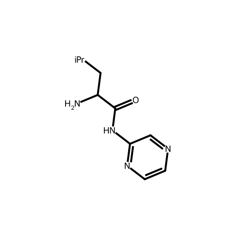 CC(C)CC(N)C(=O)Nc1cnccn1